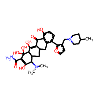 CC1CCN(Cc2ccoc2-c2ccc(O)c3c2CC2CC4C(N(C)C)C(O)=C(C(N)=O)C(O)(O)C4C(O)=C2C3=O)CC1